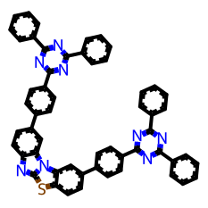 c1ccc(-c2nc(-c3ccccc3)nc(-c3ccc(-c4ccc5nc6sc7ccc(-c8ccc(-c9nc(-c%10ccccc%10)nc(-c%10ccccc%10)n9)cc8)cc7n6c5c4)cc3)n2)cc1